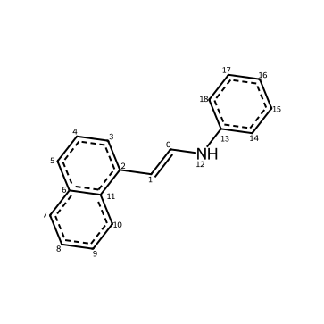 C(=Cc1cccc2ccccc12)Nc1ccccc1